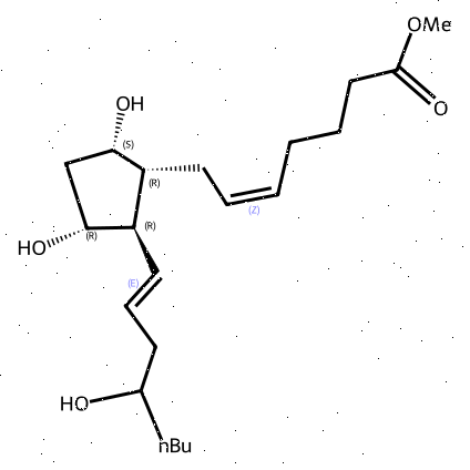 CCCCC(O)C/C=C/[C@@H]1[C@@H](C/C=C\CCCC(=O)OC)[C@@H](O)C[C@H]1O